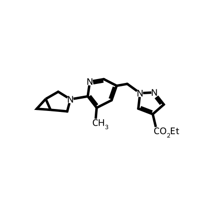 CCOC(=O)c1cnn(Cc2cnc(N3CC4CC4C3)c(C)c2)c1